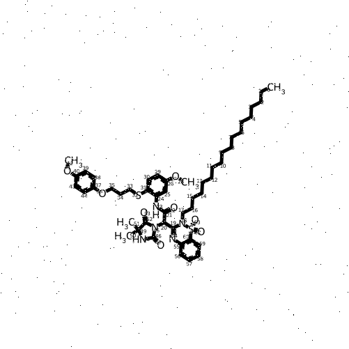 CCCCCCCCCCCCCCCCCCN1C(C(C(=O)Nc2cc(OC)ccc2SCCCOc2ccc(OC)cc2)N2C(=O)NC(C)(C)C2=O)=Nc2ccccc2S1(=O)=O